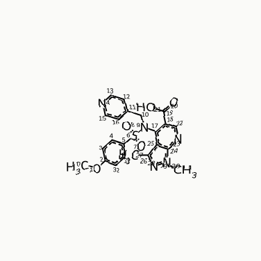 COc1ccc(S(=O)(=O)N(Cc2ccncc2)c2c(C(=O)O)cnc3c2c(C)nn3C)cc1